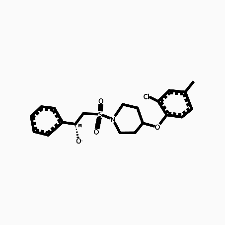 Cc1ccc(OC2CCN(S(=O)(=O)C[C@H]([O])c3ccccc3)CC2)c(Cl)c1